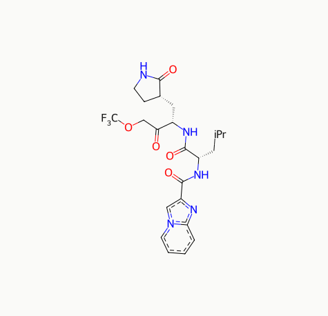 CC(C)C[C@H](NC(=O)c1cn2ccccc2n1)C(=O)N[C@@H](C[C@@H]1CCNC1=O)C(=O)COC(F)(F)F